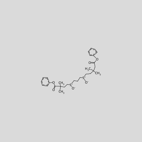 CC(C)(CC[S+]([O-])CCC[S+]([O-])CCC(C)(C)C(=O)Oc1ccccc1)CC(=O)Oc1ccccc1